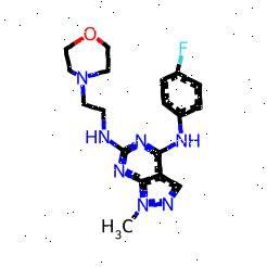 Cn1ncc2c(Nc3ccc(F)cc3)nc(NCCN3CCOCC3)nc21